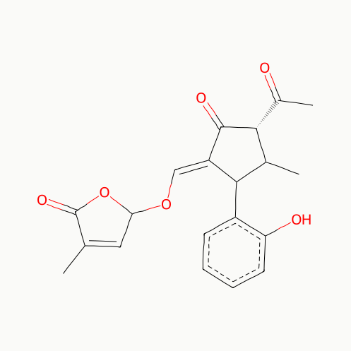 CC(=O)[C@H]1C(=O)/C(=C/OC2C=C(C)C(=O)O2)C(c2ccccc2O)C1C